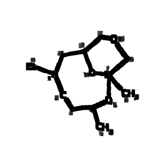 CCN1CCC(C)O[Si]2(C)COCC(C1)O2